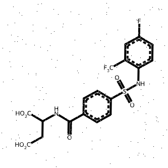 O=C(O)CC(NC(=O)c1ccc(S(=O)(=O)Nc2ccc(F)cc2C(F)(F)F)cc1)C(=O)O